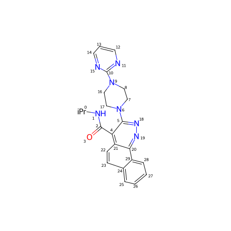 CC(C)NC(=O)c1c(N2CCN(c3ncccn3)CC2)nnc2c1ccc1ccccc12